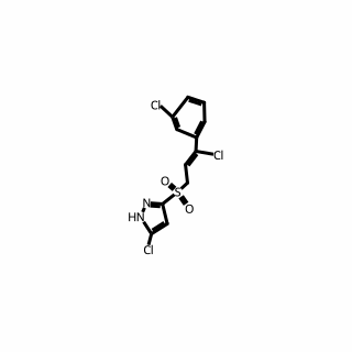 O=S(=O)(CC=C(Cl)c1cccc(Cl)c1)c1cc(Cl)[nH]n1